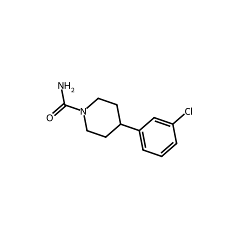 NC(=O)N1CCC(c2cccc(Cl)c2)CC1